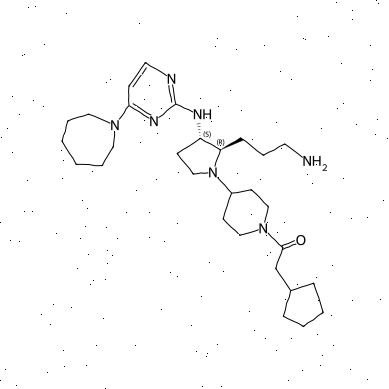 NCCC[C@@H]1[C@@H](Nc2nccc(N3CCCCCC3)n2)CCN1C1CCN(C(=O)CC2CCCC2)CC1